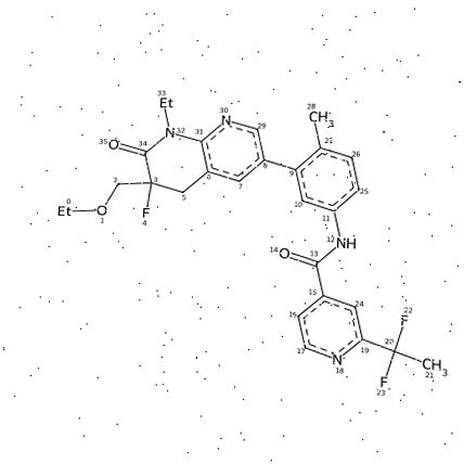 CCOCC1(F)Cc2cc(-c3cc(NC(=O)c4ccnc(C(C)(F)F)c4)ccc3C)cnc2N(CC)C1=O